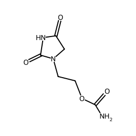 NC(=O)OCCN1CC(=O)NC1=O